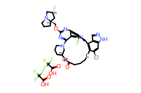 O=C(O)C(F)(F)F.O=C(O)C(F)(F)F.O=C1CCCCc2c(Cl)cc3[nH]ncc3c2-c2ncc3c(nc(OC[C@@]45CCCN4C[C@H](F)C5)nc3c2F)N2CCC[C@H](C2)O1